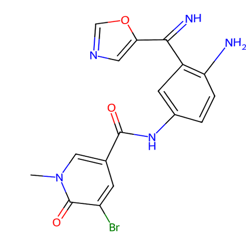 Cn1cc(C(=O)Nc2ccc(N)c(C(=N)c3cnco3)c2)cc(Br)c1=O